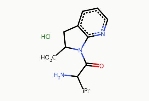 CC(C)C(N)C(=O)N1c2ncccc2CC1C(=O)O.Cl